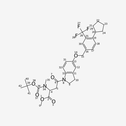 COC(=O)C(CC(=O)N1CCc2cc(OCc3ccc(C4CCCC4)c(C(F)(F)F)c3)ccc21)N(C)C(=O)OC(C)(C)C